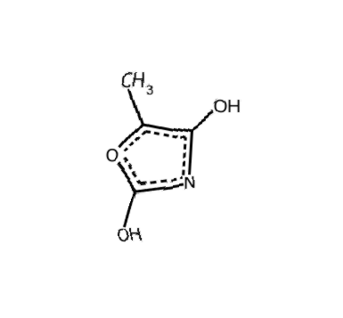 Cc1oc(O)nc1O